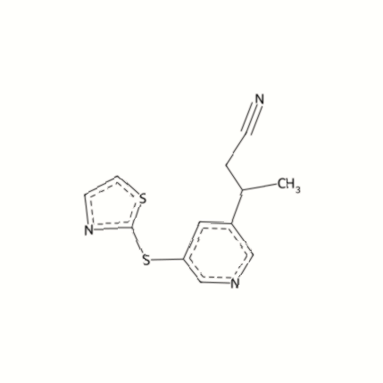 CC(CC#N)c1cncc(Sc2nccs2)c1